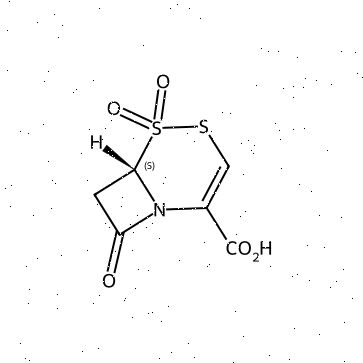 O=C(O)C1=CSS(=O)(=O)[C@H]2CC(=O)N12